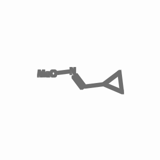 CO/N=C/C1CC1